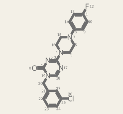 O=c1nc(N2CCN(c3ccc(F)cc3)CC2)ncn1Cc1cccc(Cl)c1